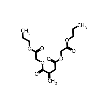 C=C(CC(=O)OCC(=O)OCCC)C(=O)OCC(=O)OCCC